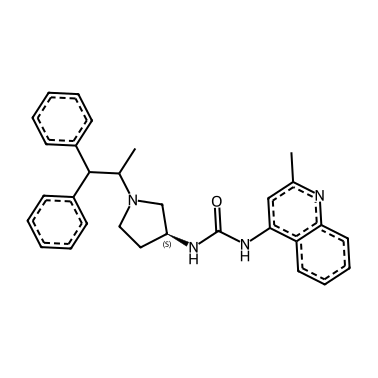 Cc1cc(NC(=O)N[C@H]2CCN(C(C)C(c3ccccc3)c3ccccc3)C2)c2ccccc2n1